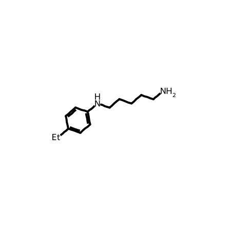 CCc1ccc(NCCCCCN)cc1